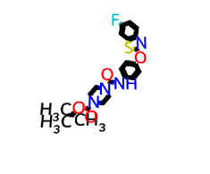 CC(C)(C)OC(=O)N1CCN(C(=O)Nc2ccc(Oc3nc4ccc(F)cc4s3)cc2)CC1